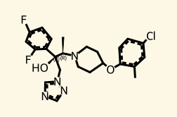 Cc1cc(Cl)ccc1OC1CCN([C@H](C)[C@](O)(Cn2cncn2)c2ccc(F)cc2F)CC1